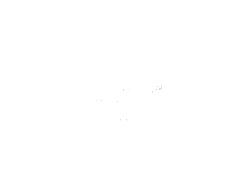 O=C([O-])[O-].O=C([O-])[O-].[Ca+2].[Sr+2]